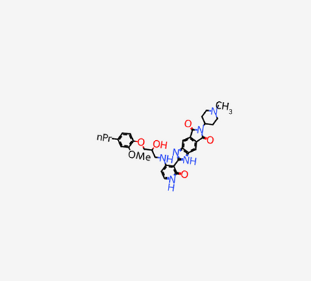 CCCc1ccc(OCC(O)CNc2cc[nH]c(=O)c2-c2nc3cc4c(cc3[nH]2)C(=O)N(C2CCN(C)CC2)C4=O)c(OC)c1